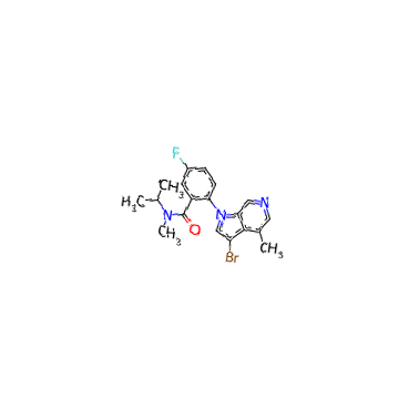 Cc1cncc2c1c(Br)cn2-c1ccc(F)cc1C(=O)N(C)C(C)C